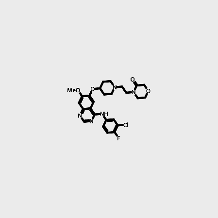 COc1cc2ncnc(Nc3ccc(F)c(Cl)c3)c2cc1OC1CCN(CCN2CCOCC2=O)CC1